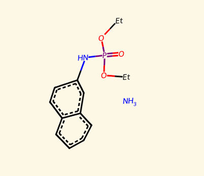 CCOP(=O)(Nc1ccc2ccccc2c1)OCC.N